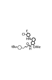 COc1cc2cccc(Nc3ccc(F)c(Cl)c3)c2cc1NC(=O)/C=C/CC1CCC(C(C)(C)C)CC1